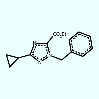 CCOC(=O)c1nc(C2CC2)nn1Cc1ccccc1